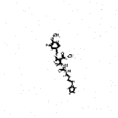 COC(=O)c1c(OCc2ccc(OC)c(F)c2)nsc1NC(=O)NCCCCN1CCCC1